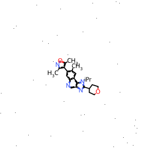 Cc1cc2c(cc1-c1c(C)noc1C)ncc1nc(C3CCOCC3)n(C(C)C)c12